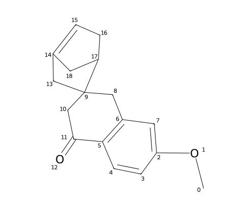 COc1ccc2c(c1)CC1(CC2=O)CC2=CCC1C2